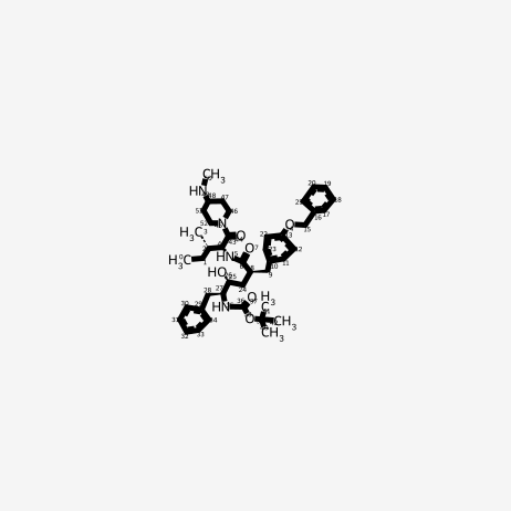 CC[C@H](C)[C@H](NC(=O)[C@@H](Cc1ccc(OCc2ccccc2)cc1)C[C@@H](O)[C@H](Cc1ccccc1)NC(=O)OC(C)(C)C)C(=O)N1CCC(NC)CC1